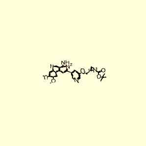 COc1cc2ncc3c(N)nc(-c4cncc(OC[C@H]5CN5C(=O)OC(C)(C)C)c4)cc3c2cc1OC